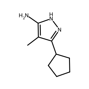 Cc1c(C2CCCC2)n[nH]c1N